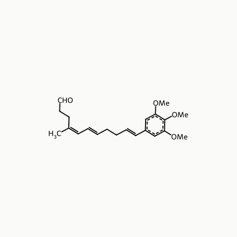 COc1cc(C=CCCC=CC=C(C)CCC=O)cc(OC)c1OC